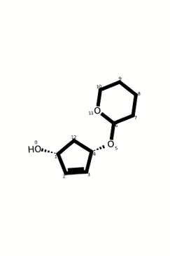 O[C@H]1C=C[C@@H](OC2CCCCO2)C1